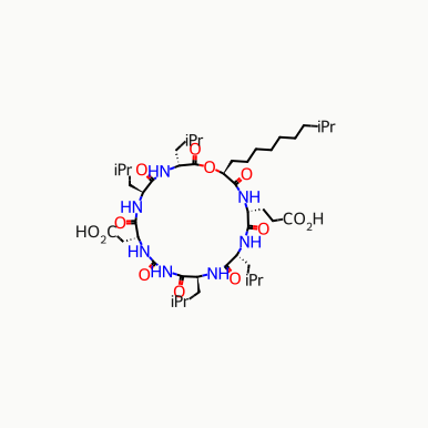 CC(C)CCCCCCC[C@@H]1OC(=O)[C@@H](CC(C)C)NC(=O)[C@H](CC(C)C)NC(=O)[C@@H](CC(=O)O)NC(=O)NC(=O)[C@H](CC(C)C)NC(=O)[C@@H](CC(C)C)NC(=O)[C@@H](CCC(=O)O)NC1=O